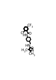 Cc1noc(NCC2CCC(NC(=O)c3cc(C(F)(F)F)ccc3Cl)CC2)c1C